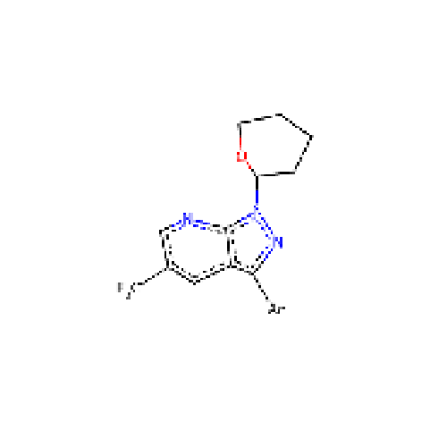 CC(=O)c1nn(C2CCCCO2)c2ncc(C(F)(F)F)cc12